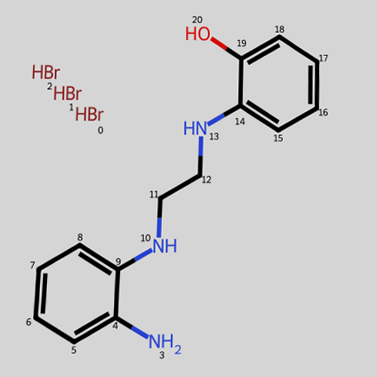 Br.Br.Br.Nc1ccccc1NCCNc1ccccc1O